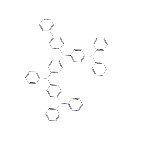 C1=CC(N(c2ccccc2)c2ccc(N(c3ccc(-c4ccccc4)cc3)c3ccc(N(c4ccccc4)c4ccc(N(c5ccccc5)c5ccccc5)cc4)cc3)cc2)=CCC1